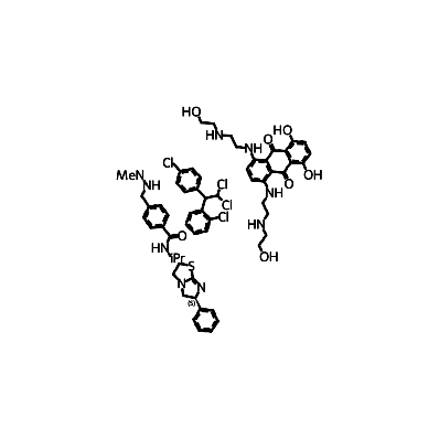 CNNCc1ccc(C(=O)NC(C)C)cc1.Clc1ccc(C(c2ccccc2Cl)C(Cl)Cl)cc1.O=C1c2c(O)ccc(O)c2C(=O)c2c(NCCNCCO)ccc(NCCNCCO)c21.c1ccc([C@H]2CN3CCSC3=N2)cc1